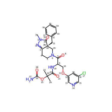 CN1N=C2CCN(C(=O)C(COc3cncc(Cl)c3)NC(=O)C(C)(C)OC(N)=O)C[C@@]2(Cc2ccccc2)C1=O